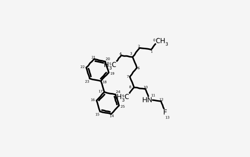 CCCC(CC)CCC(C)CNCF.c1ccc(-c2ccccc2)cc1